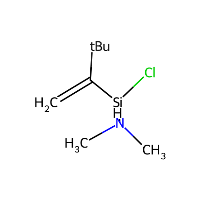 C=C([SiH](Cl)N(C)C)C(C)(C)C